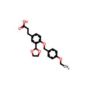 CCOc1ccc(COc2ccc(CCC(=O)O)cc2C2OCCO2)cc1